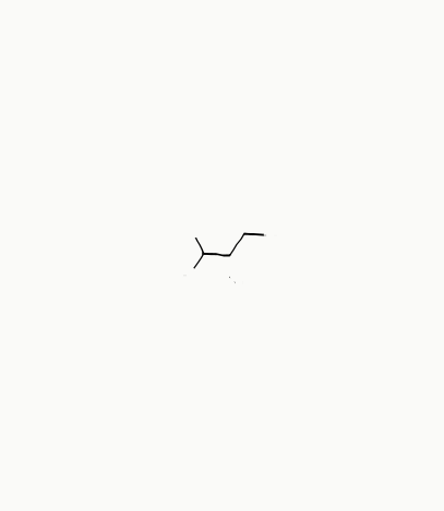 O=C([O-])C(S)CCO.[Na+]